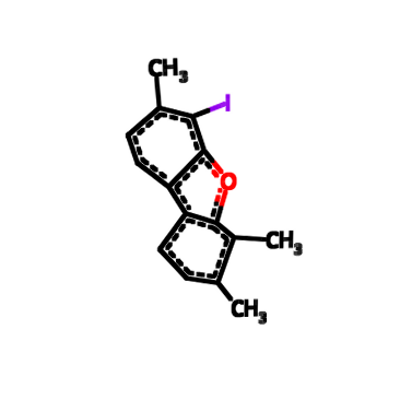 Cc1ccc2c(oc3c(I)c(C)ccc32)c1C